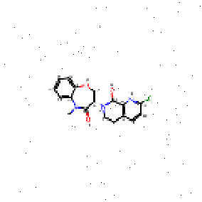 CN1C(=O)[C@@H](N2CCc3ccc(Cl)nc3C2=O)COc2ccccc21